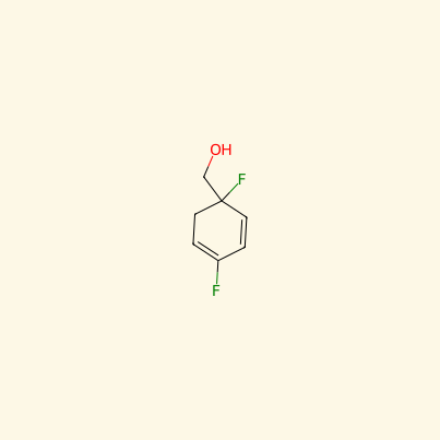 OCC1(F)C=CC(F)=CC1